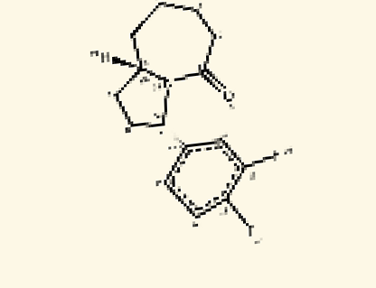 O=C1CCCC[C@H]2CC[C@@H](c3ccc(F)c(F)c3)N12